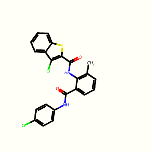 Cc1cccc(C(=O)Nc2ccc(Cl)cc2)c1NC(=O)c1sc2ccccc2c1Cl